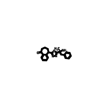 C[C@](N)(Cc1ccccc1)c1nnc(C2CCCC(=O)c3ccccc32)o1